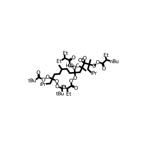 CCCCC(CC)C(=O)OOC(C)(CC(C)C)C1(C(C)(CC(CCC(C)CCC(CC(C)C)(OOC(=O)C(C)(C)C)OOC(=O)C(C)(C)C)(OOC(=O)C(CC)CC)OOC(=O)C(CC)CC)C(=O)O)OO1